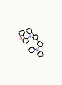 c1ccc(N(c2ccccc2)c2cccc(-c3ccc4c5ccccc5n(-c5cccc6oc7ccccc7c56)c4c3)c2)cc1